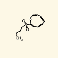 CCCCS(=O)(=O)c1cccccccs1